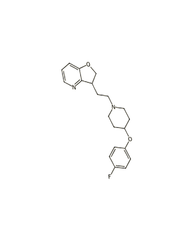 Fc1ccc(OC2CCN(CCC3COc4cccnc43)CC2)cc1